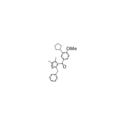 COc1ccc(C(=O)c2c(Cc3ccccc3)sc(C)c2C)cc1C1CCCC1